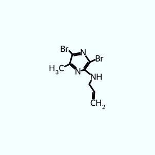 C=CCNc1nc(C)c(Br)nc1Br